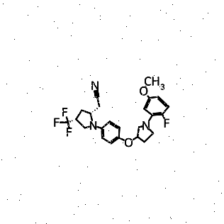 COc1ccc(F)c(N2CCC(Oc3ccc(N4C[C@H](C(F)(F)F)C[C@@H]4CC#N)cc3)C2)c1